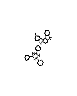 Cc1ccc2c(c1)c1c3c(ccc1n2-c1ccc(-c2nc(-c4ccccc4)nc(-c4ccccc4)n2)cc1)C(C)(C)c1ccccc1-3